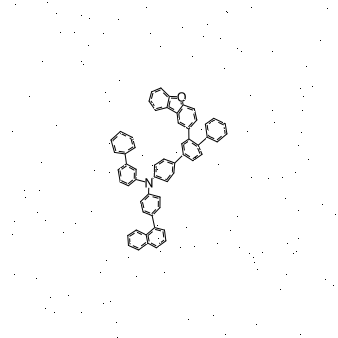 c1ccc(-c2cccc(N(c3ccc(-c4ccc(-c5ccccc5)c(-c5ccc6oc7ccccc7c6c5)c4)cc3)c3ccc(-c4cccc5ccccc45)cc3)c2)cc1